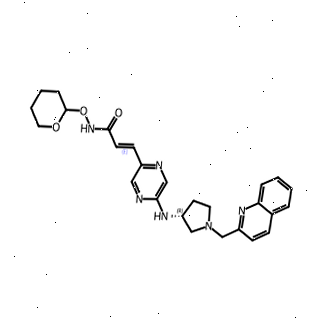 O=C(/C=C/c1cnc(N[C@@H]2CCN(Cc3ccc4ccccc4n3)C2)cn1)NOC1CCCCO1